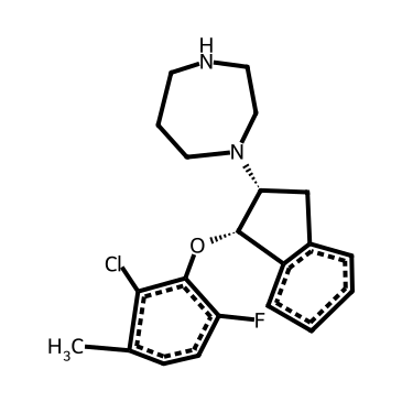 Cc1ccc(F)c(O[C@H]2c3ccccc3C[C@H]2N2CCCNCC2)c1Cl